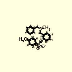 C[S+](Cc1ccccc1)Cc1ccccc1.Cc1ccc(S(=O)(=O)[O-])cc1